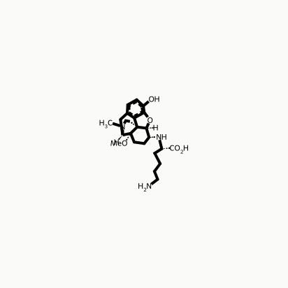 CO[C@@]12CC[C@@H](N[C@@H](CCCCN)C(=O)O)[C@@H]3Oc4c(O)ccc5c4[C@@]31CCN(C)[C@@H]2C5